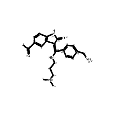 CC(=O)c1ccc2c(c1)C(=C(NCCCN(C)C)c1ccc(CN)cc1)C(=O)N2